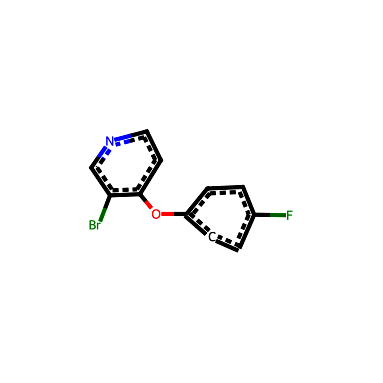 Fc1ccc(Oc2ccncc2Br)cc1